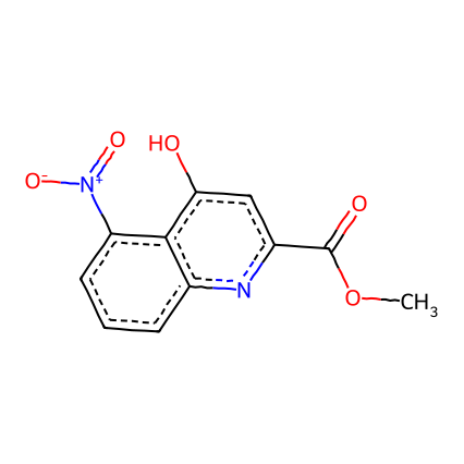 COC(=O)c1cc(O)c2c([N+](=O)[O-])cccc2n1